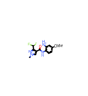 COc1ccc(NC(=O)c2cn(C)nc2C(F)F)c(N)c1